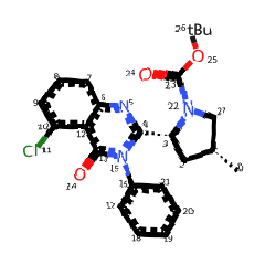 C[C@@H]1C[C@H](c2nc3cccc(Cl)c3c(=O)n2-c2ccccc2)N(C(=O)OC(C)(C)C)C1